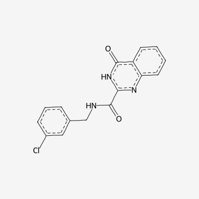 O=C(NCc1cccc(Cl)c1)c1nc2ccccc2c(=O)[nH]1